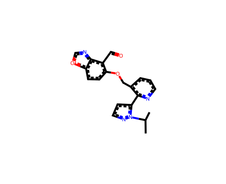 CC(C)n1nccc1-c1ncccc1COc1ccc2ocnc2c1C=O